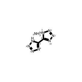 N.n1n[nH]c(-c2nnn[nH]2)n1